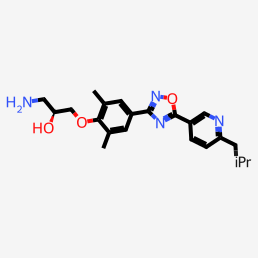 Cc1cc(-c2noc(-c3ccc(CC(C)C)nc3)n2)cc(C)c1OC[C@@H](O)CN